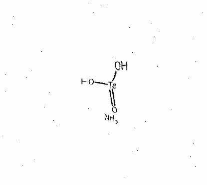 N.O=[Te](O)O